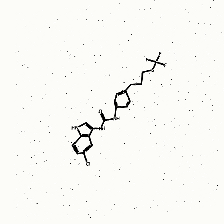 O=C(Nc1ccc(CCCSC(F)(F)F)cc1)Nc1c[nH]c2ccc(Cl)cc12